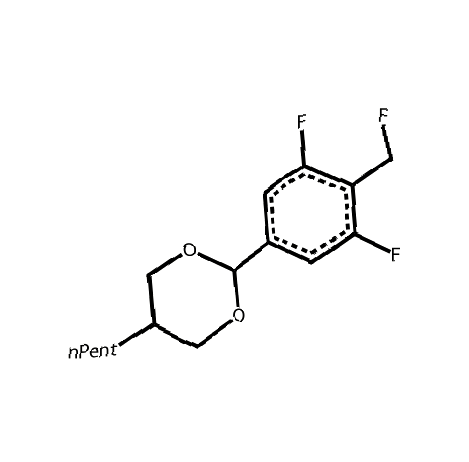 CCCCCC1COC(c2cc(F)c(CF)c(F)c2)OC1